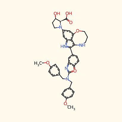 COc1ccc(CN(Cc2ccc(OC)cc2)c2nc3cc(-c4[nH]c5cc(N6CC[C@@H](O)[C@H]6C(=O)O)cc6c5c4NCCCO6)ccc3o2)cc1